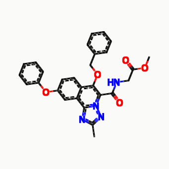 COC(=O)CNC(=O)c1c(OCc2ccccc2)c2ccc(Oc3ccccc3)cc2c2nc(C)nn12